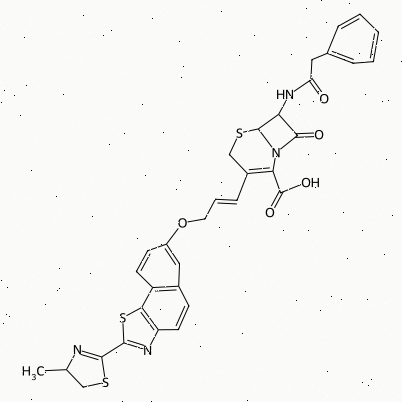 CC1CSC(c2nc3ccc4cc(OC/C=C/C5=C(C(=O)O)N6C(=O)C(NC(=O)Cc7ccccc7)C6SC5)ccc4c3s2)=N1